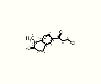 CN1C(=O)CCc2cc(C(=O)CCCl)ccc21